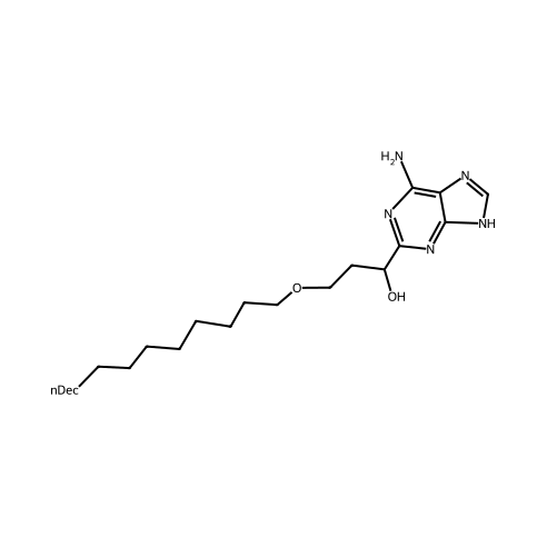 CCCCCCCCCCCCCCCCCCOCCC(O)c1nc(N)c2nc[nH]c2n1